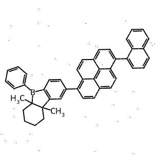 CC12CCCCC1(C)c1cc(-c3ccc4ccc5c(-c6cccc7ccccc67)ccc6ccc3c4c65)ccc1B2c1ccccc1